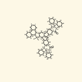 CC1(C)c2c(c3ccccc3c3ccccc23)-c2cc3c4cc5c(cc4n4c6cc7c(cc6c(c21)c34)C1c2ccccc2C12c1ccccc1C2C7=O)C(=O)C1c2ccccc2C12c1ccccc1C52